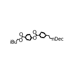 CCCCCCCCCCCCc1ccc(C(=O)Oc2ccc(C(=O)OCC(C)CC)cc2)cc1